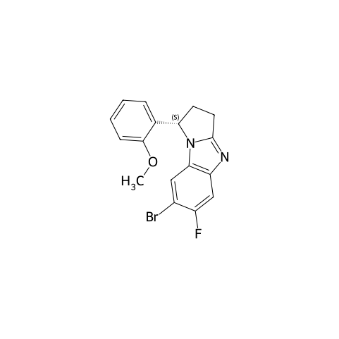 COc1ccccc1[C@@H]1CCc2nc3cc(F)c(Br)cc3n21